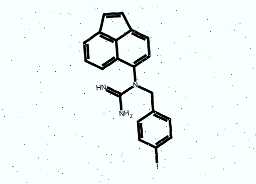 N=C(N)N(Cc1ccc(I)cc1)c1ccc2c3c(cccc13)C=C2